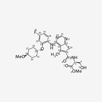 COC(=O)[C@H](CO)NC(=O)c1sc2ncnc(Nc3ccc(F)cc3O[C@H]3CC[C@H](OC)CC3)c2c1C